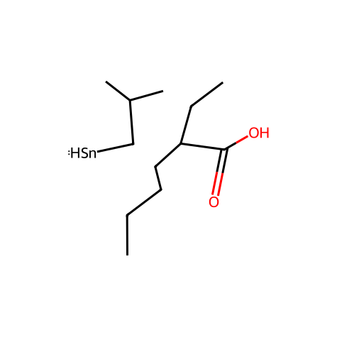 CC(C)[CH2][SnH].CCCCC(CC)C(=O)O